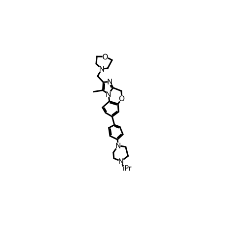 Cc1c(CN2CCOCC2)nc2n1-c1ccc(-c3ccc(N4CCN(C(C)C)CC4)cc3)cc1OC2